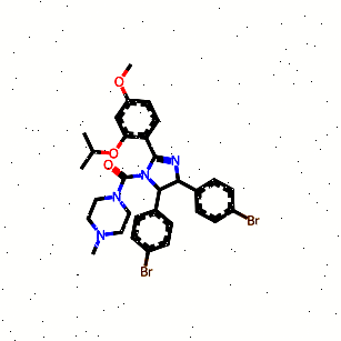 COc1ccc(C2=NC(c3ccc(Br)cc3)C(c3ccc(Br)cc3)N2C(=O)N2CCN(C)CC2)c(OC(C)C)c1